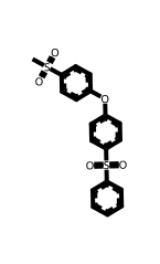 CS(=O)(=O)c1ccc(Oc2ccc(S(=O)(=O)c3ccccc3)cc2)cc1